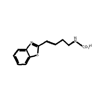 O=C(O)NCCCCc1nc2ccccc2s1